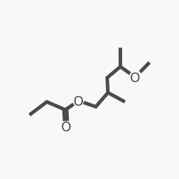 CCC(=O)OCC(C)CC(C)OC